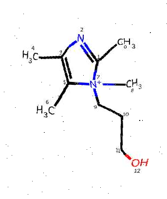 CC1=NC(C)=C(C)[N+]1(C)CCCO